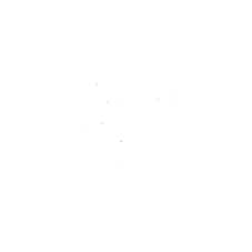 CCCN(C)C(CC)CS